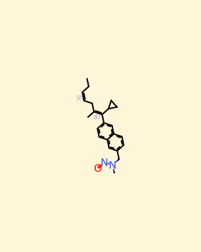 CC/C=C\C/C(C)=C(/c1ccc2cc(CN(C)N=O)ccc2c1)C1CC1